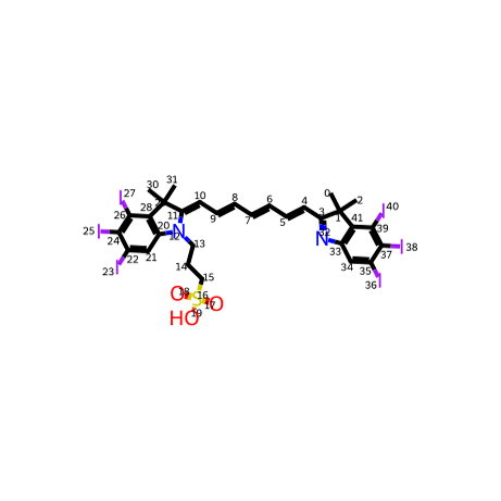 CC1(C)C(/C=C/C=C/C=C/C=C2\N(CCCS(=O)(=O)O)c3cc(I)c(I)c(I)c3C2(C)C)=Nc2cc(I)c(I)c(I)c21